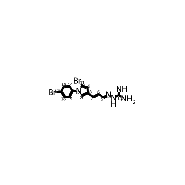 N=C(N)N/N=C/C=C/c1cc(Br)n(-c2ccc(Br)cc2)c1